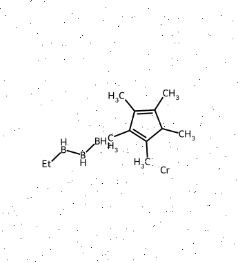 BBBCC.CC1=C(C)C(C)C(C)=C1C.[Cr]